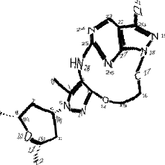 Cc1c2c(nn1[C@H]1C[C@@H](C)O[C@@H](C)C1)OCCCn1nc(Cl)c3cnc(nc31)N2